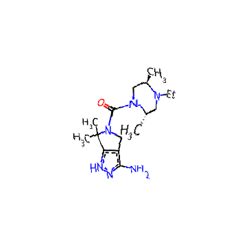 CCN1C[C@H](C)N(C(=O)N2Cc3c(N)n[nH]c3C2(C)C)C[C@H]1C